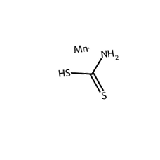 NC(=S)S.[Mn]